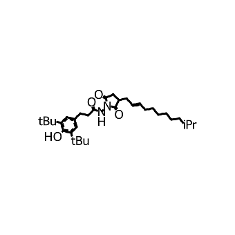 CC(C)CCCCCCC=CCC1CC(=O)N(NC(=O)CCc2cc(C(C)(C)C)c(O)c(C(C)(C)C)c2)C1=O